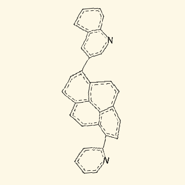 c1ccc(-c2ccc3ccc4c(-c5cnc6ccccc6c5)ccc5ccc2c3c54)nc1